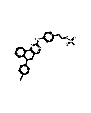 CS(=O)(=O)OCCc1ccc(Nc2ncc3c(n2)-c2ccccc2C(c2ccc(F)cc2)C3)cc1